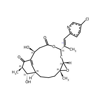 C/C(=C\c1ccc(Cl)cn1)[C@@H]1C[C@@H]2O[C@]2(C)CCC[C@@H]2C=C(C(=O)[C@H](C)[C@H]2O)[C@@H](O)CC(=O)O1